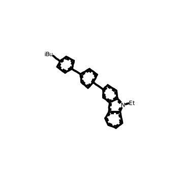 CCC(C)c1ccc(-c2ccc(-c3ccc4c(c3)c3ccccc3n4CC)cc2)cc1